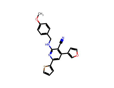 COc1ccc(CNc2nc(-c3cccs3)cc(-c3ccoc3)c2C#N)cc1